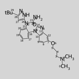 CN(C)CCCOc1ccc2c(c1)ncn2-c1ccccc1N(C(N)=O)c1cc(C(C)(C)C)n[nH]1